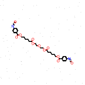 O=C=Nc1ccc(C(=O)OCCCCCC(=O)OCCOCCOC(=O)CCCCCOC(=O)c2ccc(N=C=O)cc2)cc1